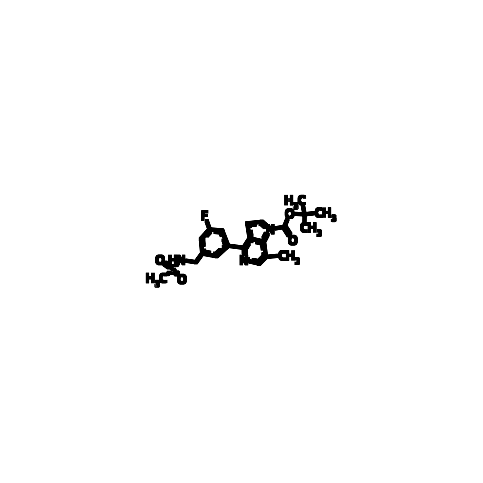 Cc1cnc(-c2cc(F)cc(CNS(C)(=O)=O)c2)c2ccn(C(=O)OC(C)(C)C)c12